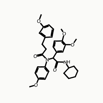 COc1ccc(N(C(=O)CCc2cccc(OC)c2)C(C(=O)NC2CCCCC2)c2ccc(OC)c(OC)c2)cc1